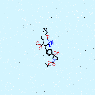 CCC[C@H](C(=O)OC)[C@H](Cc1ccc(C2(O)CCN(C(=O)OC(C)(C)C)C2)cc1)c1nnnn1COCC[Si](C)(C)C